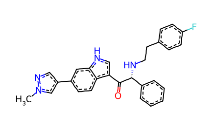 Cn1cc(-c2ccc3c(C(=O)[C@H](NCCc4ccc(F)cc4)c4ccccc4)c[nH]c3c2)cn1